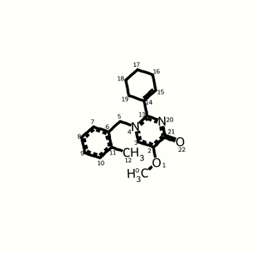 COc1cn(Cc2ccccc2C)c(C2=CCCCC2)nc1=O